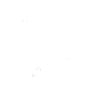 CCCNCC\C=C(C)/C1=C/C(C2=C/C=C(/C(F)(F)F)CC=C=C\2)=C\C=C\C=C\1